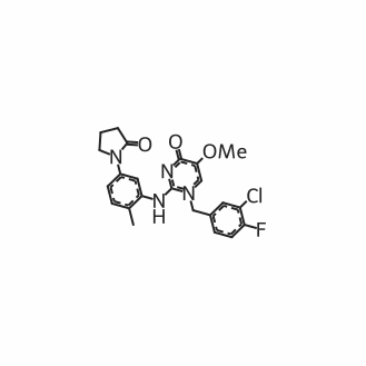 COc1cn(Cc2ccc(F)c(Cl)c2)c(Nc2cc(N3CCCC3=O)ccc2C)nc1=O